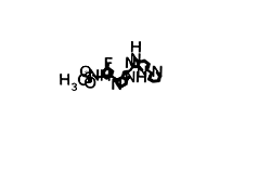 CS(=O)(=O)NCc1cc(F)cc(-c2nccc3[nH]c(-c4n[nH]c5ccc(-c6ccccn6)nc45)cc23)c1